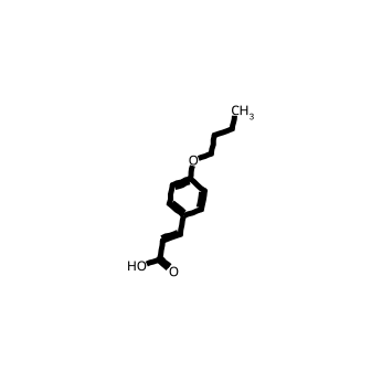 CCCCOc1ccc(C=CC(=O)O)cc1